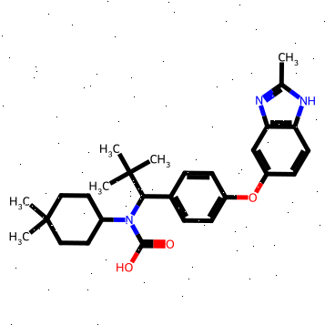 Cc1nc2cc(Oc3ccc(C(N(C(=O)O)C4CCC(C)(C)CC4)C(C)(C)C)cc3)ccc2[nH]1